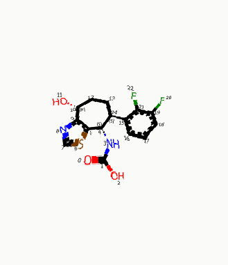 O=C(O)N[C@@H]1c2scnc2[C@H](O)CC[C@H]1c1cccc(F)c1F